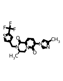 Cc1cn(-c2ccc3n(c2=O)C[C@@H](C)N(Cc2csc(C(F)(F)F)c2)C3=O)cn1